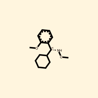 CON[C@@H](c1ccccc1OC)C1CCCCC1